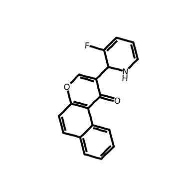 O=c1c(C2NC=CC=C2F)coc2ccc3ccccc3c12